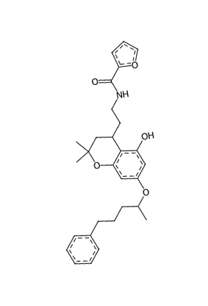 CC(CCCc1ccccc1)Oc1cc(O)c2c(c1)OC(C)(C)CC2CCNC(=O)c1ccco1